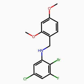 COc1ccc(CNc2cc(Cl)cc(F)c2Br)c(OC)c1